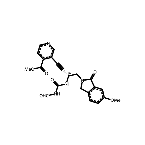 COC(=O)c1ccncc1C#C[C@H](CN1Cc2ccc(OC)cc2C1=O)NC(=O)NC=O